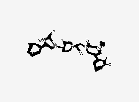 CN1CC(c2cccc(Cl)c2Cl)=CN(CC(=O)N2CCC(n3cc(-c4ccccc4)[nH]c3=O)CC2)C1=O